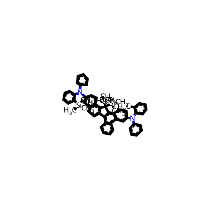 Cc1ccccc1N(c1ccccc1)c1ccc2c3c(c4ccccc4c2c1)-c1ccc2cc(N(c4ccccc4)c4ccccc4[Si](C)(C)C)ccc2c1C3([Si](C)(C)C)[Si](C)(C)C